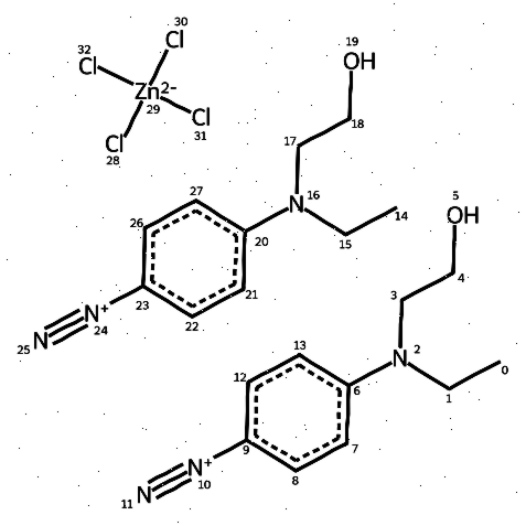 CCN(CCO)c1ccc([N+]#N)cc1.CCN(CCO)c1ccc([N+]#N)cc1.[Cl][Zn-2]([Cl])([Cl])[Cl]